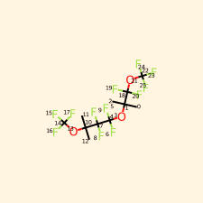 CC(C)(OC(F)(F)C(F)(F)C(C)(C)OC(F)(F)F)C(F)(F)OC(F)(F)F